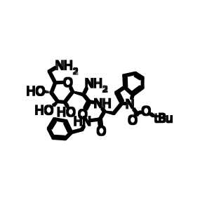 CC(C)(C)OC(=O)n1c(C[C@H](NC(=O)C(N)[C@@H]2OC(CN)[C@@H](O)[C@H](O)C2O)C(=O)NCc2ccccc2)cc2ccccc21